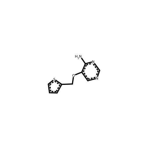 Nc1ncncc1OCc1cccs1